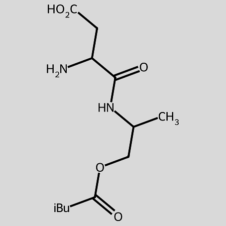 CCC(C)C(=O)OCC(C)NC(=O)C(N)CC(=O)O